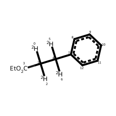 [2H]C([2H])(C(=O)OCC)C([2H])([2H])c1ccccc1